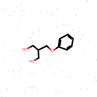 OCC(CO)COc1cc[c]cc1